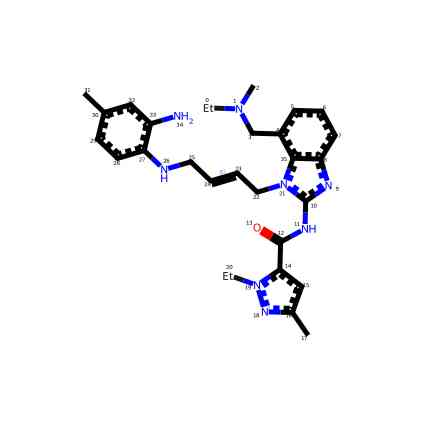 CCN(C)Cc1cccc2nc(NC(=O)c3cc(C)nn3CC)n(C/C=C/CNc3ccc(C)cc3N)c12